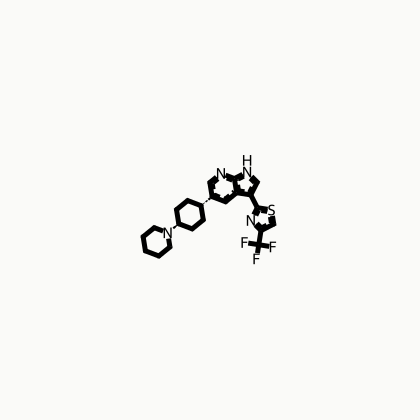 FC(F)(F)c1csc(-c2c[nH]c3ncc([C@H]4CC[C@@H](N5CCCCC5)CC4)cc23)n1